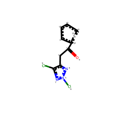 O=C(Cc1nn(Cl)nc1Cl)c1ccccc1